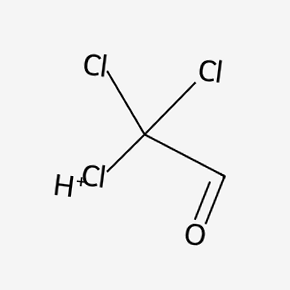 O=CC(Cl)(Cl)Cl.[H+]